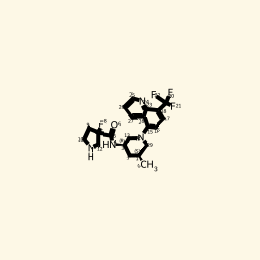 C[C@H]1C[C@@H](NC(=O)C2(F)CCNC2)CN(c2ccc(C(F)(F)F)c3ncccc23)C1